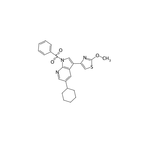 COc1nc(-c2cn(S(=O)(=O)c3ccccc3)c3ncc(C4CCCCC4)cc23)cs1